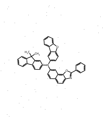 CC1(C)c2ccccc2-c2ccc(N(c3ccc4oc5ccccc5c4c3)c3ccc4ccc5nc(-c6ccccc6)oc5c4c3)cc21